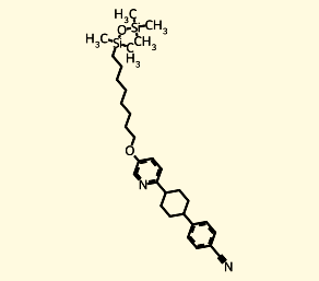 C[Si](C)(C)O[Si](C)(C)CCCCCCCCOc1ccc(C2CCC(c3ccc(C#N)cc3)CC2)nc1